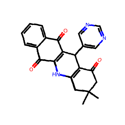 CC1(C)CC(=O)C2=C(C1)NC1=C(C(=O)c3ccccc3C1=O)C2c1cncnc1